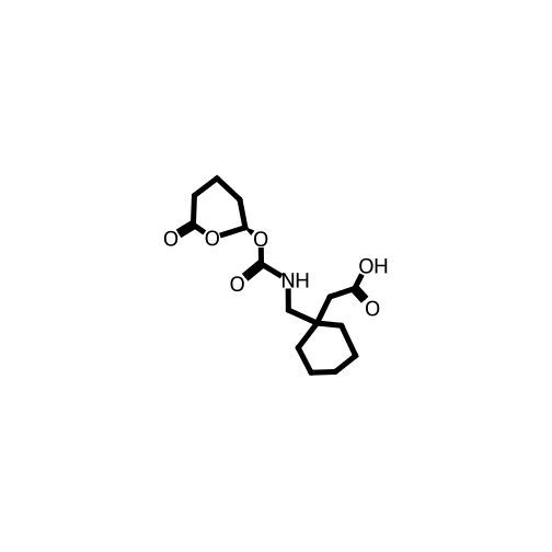 O=C(O)CC1(CNC(=O)O[C@@H]2CCCC(=O)O2)CCCCC1